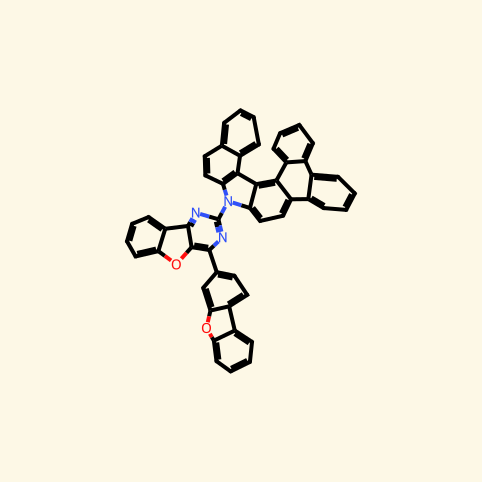 c1ccc2c(c1)ccc1c2c2c3c4ccccc4c4ccccc4c3ccc2n1-c1nc(-c2ccc3c(c2)oc2ccccc23)c2oc3ccccc3c2n1